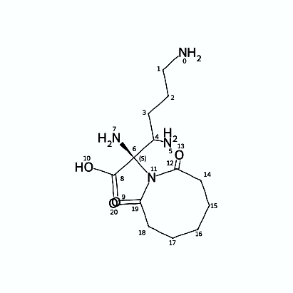 NCCCC(N)[C@@](N)(C(=O)O)N1C(=O)CCCCCC1=O